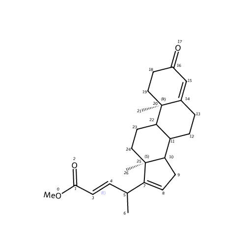 COC(=O)/C=C/C(C)C1=CCC2C3CCC4=CC(=O)CC[C@]4(C)C3CC[C@]12C